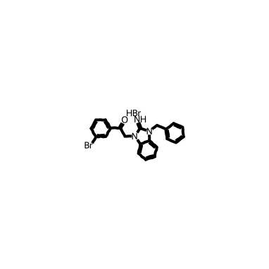 Br.N=c1n(CC(=O)c2cccc(Br)c2)c2ccccc2n1Cc1ccccc1